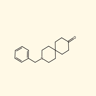 O=C1CCC2(CC1)CCN(Cc1ccccc1)CC2